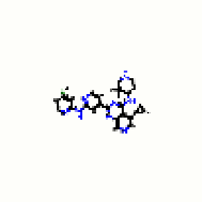 CC1(C)CNCCC1Nc1nc(-c2ccnc(Nc3cc(F)ccn3)c2)nc2cncc(C3CC3)c12